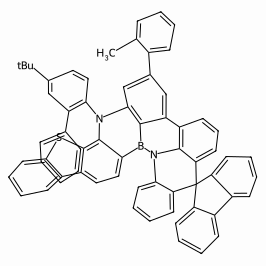 Cc1ccccc1-c1cc2c3c(c1)N(c1ccc(C(C)(C)C)cc1-c1ccccc1)c1c(ccc4c1sc1ccccc14)B3N1c3ccccc3C3(c4ccccc4-c4ccccc43)c3cccc-2c31